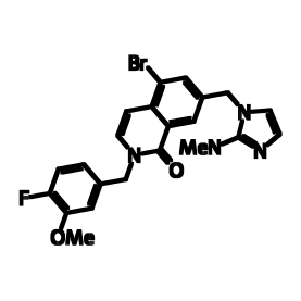 CNc1nccn1Cc1cc(Br)c2ccn(Cc3ccc(F)c(OC)c3)c(=O)c2c1